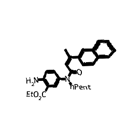 CCCCCN(C(=O)/C=C(/C)c1ccc2ccccc2c1)c1ccc(N)c(C(=O)OCC)c1